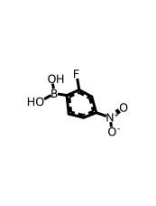 O=[N+]([O-])c1ccc(B(O)O)c(F)c1